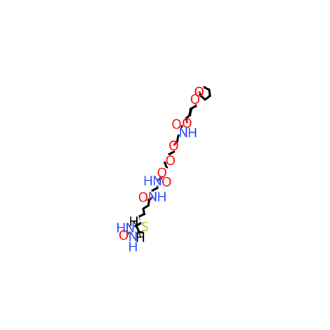 O=C(CCCC[C@@H]1SC[C@@H]2NC(=O)N[C@@H]21)NCCNC(=O)OCCOCCOCCNC(=O)OC/C=C/COC1CCCCO1